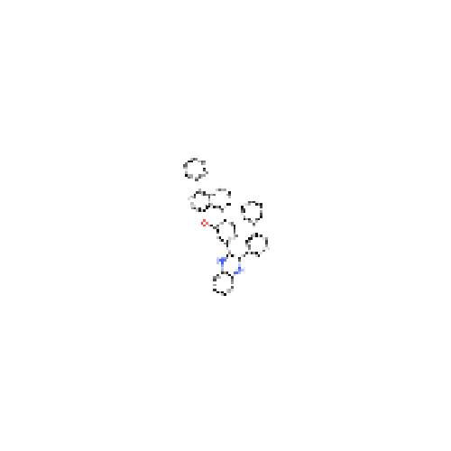 c1ccc(-c2cccc(-c3nc4ccccc4nc3-c3ccc4c(c3)Oc3ccc(-c5ccccc5)c5cccc-4c35)c2)cc1